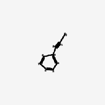 [CH]C#Cc1ccccc1